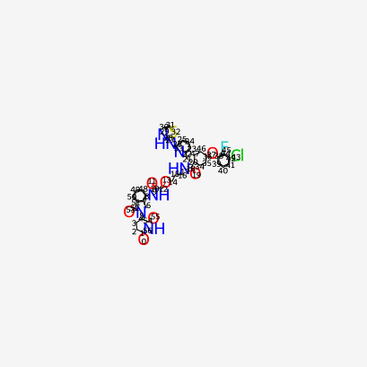 O=C1CCC(N2Cc3c(NC(=O)COCCCNC(=O)[C@]4(Cc5cccc(Nc6nccs6)n5)CC[C@@H](Oc5cccc(Cl)c5F)CC4)cccc3C2=O)C(=O)N1